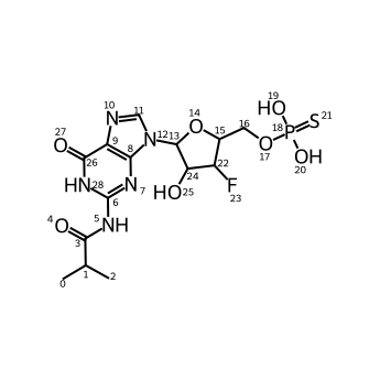 CC(C)C(=O)Nc1nc2c(ncn2C2OC(COP(O)(O)=S)C(F)C2O)c(=O)[nH]1